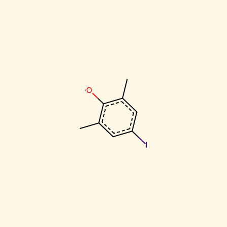 Cc1cc(I)cc(C)c1[O]